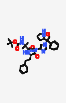 CC(C)(C)OC(=O)NC(C)(C)C(=O)N[C@H](CCc1ccccc1)C(=O)Nc1cn(C(C=O)(c2ccccc2)C2CCCN2)cn1